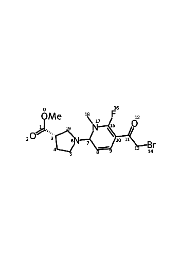 COC(=O)[C@H]1CCN(C2C=CC(C(=O)CBr)=C(F)N2C)C1